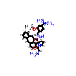 COc1cc(C(=N)N)ccc1CNC(=O)[C@]1(c2cccc3c2CCc2ccccc2C3)CCCN1C(=O)CN